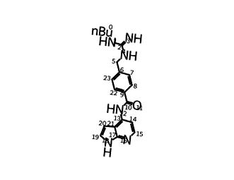 CCCCNC(=N)NCc1ccc(C(=O)Nc2ccnc3[nH]ccc23)cc1